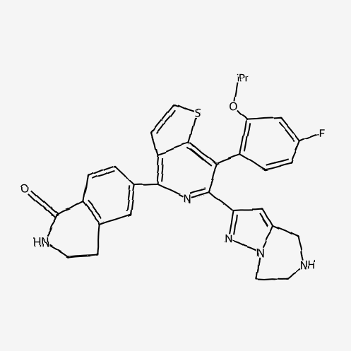 CC(C)Oc1cc(F)ccc1-c1c(-c2cc3n(n2)CCNC3)nc(-c2ccc3c(c2)CCNC3=O)c2ccsc12